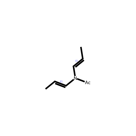 C/C=C/N(/C=C/C)C(C)=O